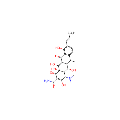 CC1c2ccc(/C=C/C(=O)O)c(O)c2C(=O)C2=C(O)C3(O)C(=O)C(C(N)=O)=C(O)C(N(C)C)C3C(O)C21